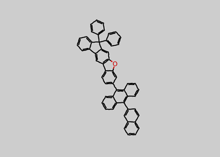 c1ccc(C2(c3ccccc3)c3ccccc3-c3cc4c(cc32)oc2cc(-c3c5ccccc5c(-c5ccc6ccccc6c5)c5ccccc35)ccc24)cc1